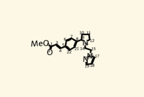 COC(=O)/C=C/c1ccc(C2CCCN2CCn2cccn2)cc1